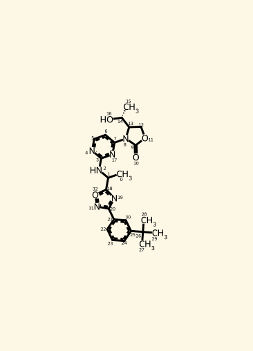 CC(Nc1nccc(N2C(=O)OCC2[C@@H](C)O)n1)c1nc(-c2cccc(C(C)(C)C)c2)no1